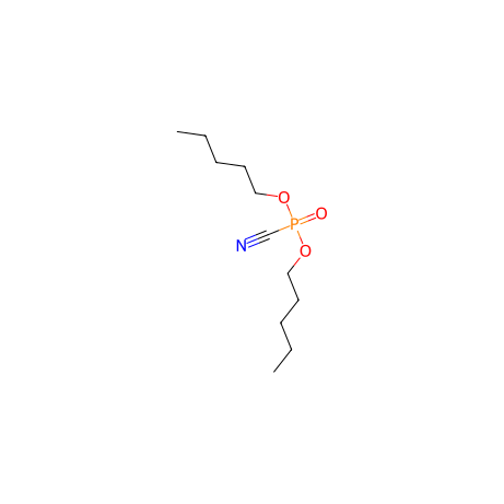 CCCCCOP(=O)(C#N)OCCCCC